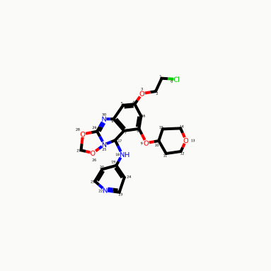 ClCCOc1cc2c(c(OC3CCOCC3)c1)C(Nc1ccncc1)N1OCOC1=N2